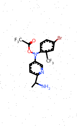 CC(N)c1ccc(N(OC(=O)C(F)(F)F)c2ccc(Br)cc2C(F)(F)F)cn1